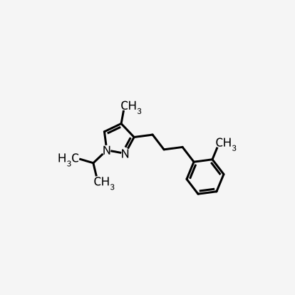 Cc1ccccc1CCCc1nn(C(C)C)cc1C